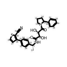 C[C@@H](NC(=O)[C@H](O)[C@@H](O)C(=O)N1CCCC1c1ccccc1)c1ccc(-c2ccsc2C#N)cc1